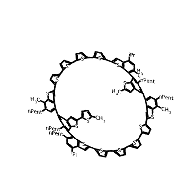 CCCCCc1cc2c3cc(sc3c1C)c1ccc(s1)c1ccc(s1)c1ccc(s1)c1ccc(s1)c1cc3c(C(C)C)cc(CCCCC)c(c3s1)c1c(CCCCC)cc(c3cc(CCCCC)c(C)c4sc(cc43)c3ccc(s3)c3ccc(s3)c3ccc(s3)c3ccc(s3)c3cc4c(C(C)C)cc(C)c(c4s3)c3c(CCCCC)cc2c2cc(C)sc23)c2cc(-c3ccc(C)s3)sc21